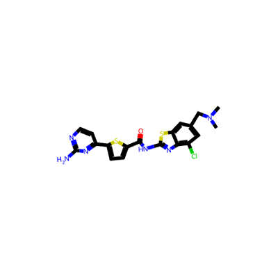 CN(C)Cc1cc(Cl)c2nc(NC(=O)c3ccc(-c4ccnc(N)n4)s3)sc2c1